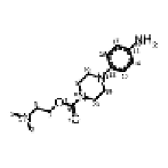 CN(C)CCOC(=O)N1CCN(c2ccc(N)cc2)CC1